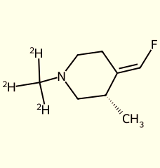 [2H]C([2H])([2H])N1CC/C(=C\F)[C@H](C)C1